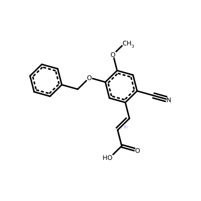 COc1cc(C#N)c(/C=C/C(=O)O)cc1OCc1ccccc1